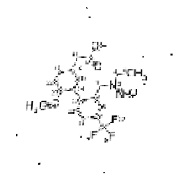 CCN(Cc1cc(C(F)(F)F)ccc1-c1cc(CC(=O)O)ccc1OC)N=O